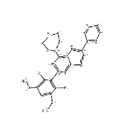 COc1cc(OC)c(F)c(-c2cc3cnc(-c4cccnc4)nc3c(N3CCOCC3)n2)c1F